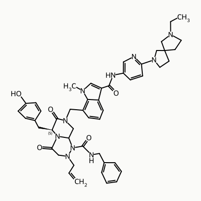 C=CCN1CC(=O)N2C(CN(Cc3cccc4c(C(=O)Nc5ccc(N6CCC7(CCN(CC)C7)C6)nc5)cn(C)c34)C(=O)[C@@H]2Cc2ccc(O)cc2)N1C(=O)NCc1ccccc1